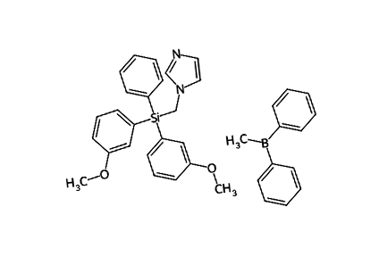 CB(c1ccccc1)c1ccccc1.COc1cccc([Si](Cn2ccnc2)(c2ccccc2)c2cccc(OC)c2)c1